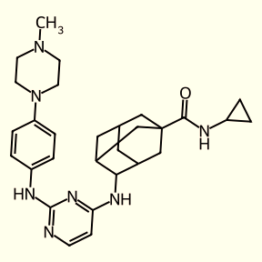 CN1CCN(c2ccc(Nc3nccc(NC4C5CC6CC4CC(C(=O)NC4CC4)(C6)C5)n3)cc2)CC1